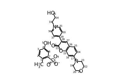 Cc1ccc(O)cc1S(=O)(=O)[O-].O=c1oc2cc(N3CCOCC3)ccc2cc1-c1cc[n+](CCO)cc1